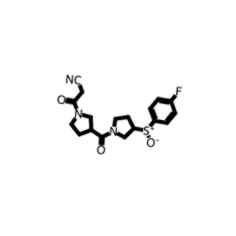 N#CCC(=O)N1CCC(C(=O)N2CCC([S+]([O-])c3ccc(F)cc3)C2)C1